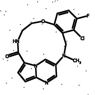 CN1Cc2c(ccc(F)c2Cl)OCCNC(=O)c2ccc3ncc1cn23